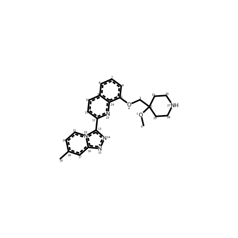 COC1(COc2cccc3ccc(-c4nnc5cc(C)ccn45)nc23)CCNCC1